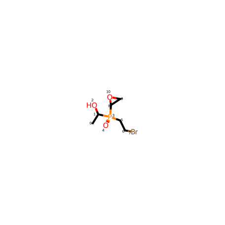 CC(O)P(=O)(CCBr)C1CO1